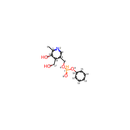 Cc1ncc(CO[PH](=O)Oc2ccccc2)c(CO)c1O